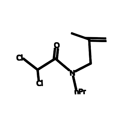 C=C(C)CN(CCC)C(=O)C(Cl)Cl